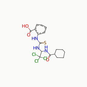 O=C(O)c1ccccc1NC(=S)NC(NC(=O)C1CCCCC1)C(Cl)(Cl)Cl